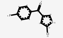 O=C(c1ccc(F)cc1)c1csc(Cl)c1